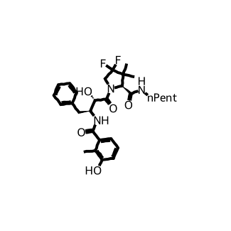 CCCCCNC(=O)[C@H]1N(C(=O)[C@@H](O)[C@H](Cc2ccccc2)NC(=O)c2cccc(O)c2C)CC(F)(F)C1(C)C